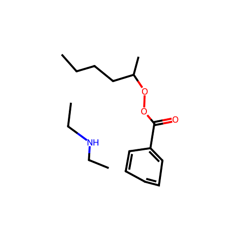 CCCCC(C)OOC(=O)c1ccccc1.CCNCC